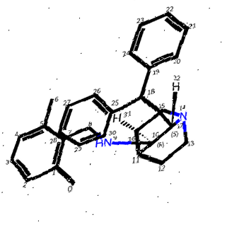 Cc1cccc(C)c1CN[C@@H]1C2CCN(CC2)[C@H]1C(c1ccccc1)c1ccccc1